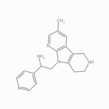 Cc1cnc2c(c1)c1c(n2CC(N)c2ccncc2)CCNC1